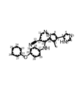 Cc1c(-c2cnc[nH]2)cn2ncc(C#N)c(Nc3ccc(Oc4ccccc4)cc3)c12